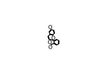 COc1ccc2c(c1)C=CC1(OC(=O)c3ccccc31)O2